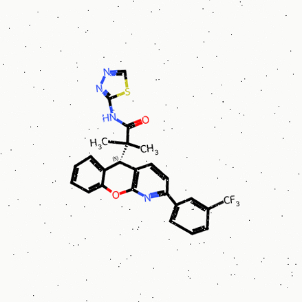 CC(C)(C(=O)Nc1nncs1)[C@H]1c2ccccc2Oc2nc(-c3cccc(C(F)(F)F)c3)ccc21